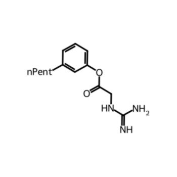 CCCCCc1cccc(OC(=O)CNC(=N)N)c1